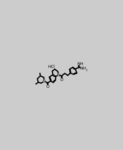 CC1CC(C)CN(C(=O)c2ccc3c(c2)CCCN3C(=O)CCc2ccc(C(=N)N)cc2)C1.Cl